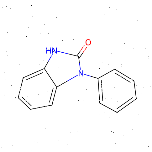 O=c1[nH]c2c[c]ccc2n1-c1ccccc1